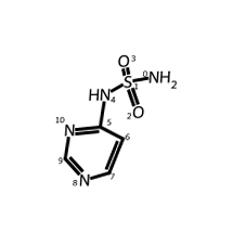 NS(=O)(=O)Nc1ccncn1